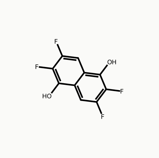 Oc1c(F)c(F)cc2c(O)c(F)c(F)cc12